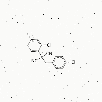 C[C@@H]1C=C(Cl)C(C(C#N)(C#N)Cc2ccc(Cl)cc2)=CC1